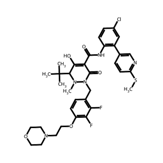 CSc1ccc(-c2cc(Cl)ccc2NC(=O)C2=C(O)C(C(C)(C)C)N(C)N(Cc3ccc(OCCN4CCOCC4)c(F)c3F)C2=O)cn1